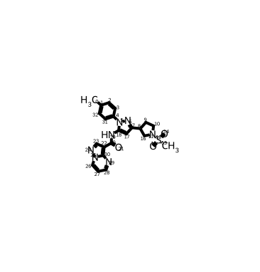 Cc1ccc(-n2nc(C3CCN(S(C)(=O)=O)C3)cc2NC(=O)c2cnn3cccnc23)cc1